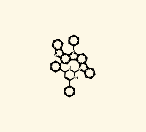 C1=C(c2ccccc2)NC(n2c3ccccc3c3ccc4c(c5ccc6oc7ccccc7c6c5n4-c4ccccc4)c32)NC1c1ccccc1